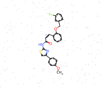 COc1ccc(-c2csc(NC(=O)/C=C\c3ccccc3OCc3cccc(F)c3)n2)cc1